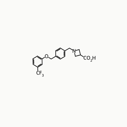 O=C(O)C1CN(Cc2ccc(COc3cccc(C(F)(F)F)c3)cc2)C1